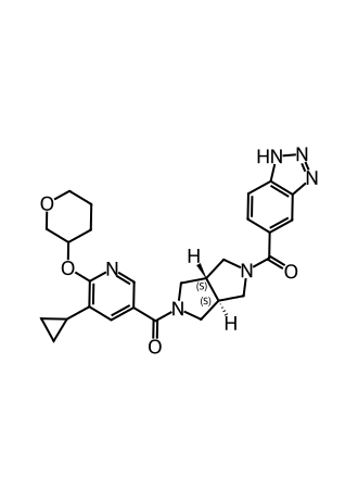 O=C(c1cnc(OC2CCCOC2)c(C2CC2)c1)N1C[C@@H]2CN(C(=O)c3ccc4[nH]nnc4c3)C[C@H]2C1